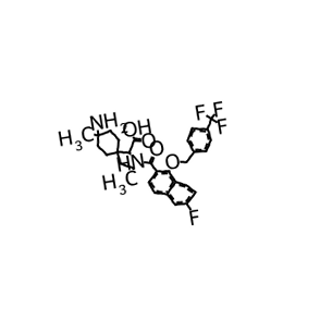 CCCC1(C(NC(=O)c2ccc3cc(F)ccc3c2OCc2ccc(C(F)(F)F)cc2)C(=O)O)CCC(C)(N)CC1